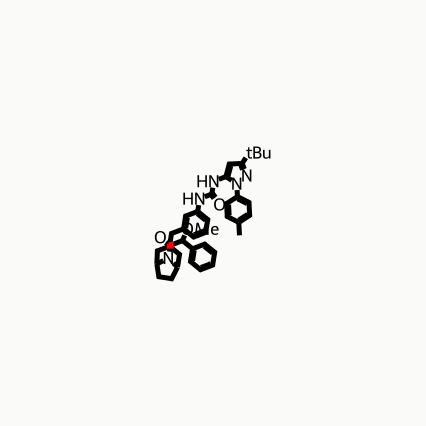 COC(C(=O)N1C2CCC1CC(Cc1cccc(NC(=O)Nc3cc(C(C)(C)C)nn3-c3ccc(C)cc3)c1)C2)c1ccccc1